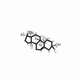 CC(=O)[C@@]1(C)CC[C@H]2[C@@H]3CC=C4C[C@@](O)(F)CC[C@]4(C)[C@H]3CC[C@@]21C